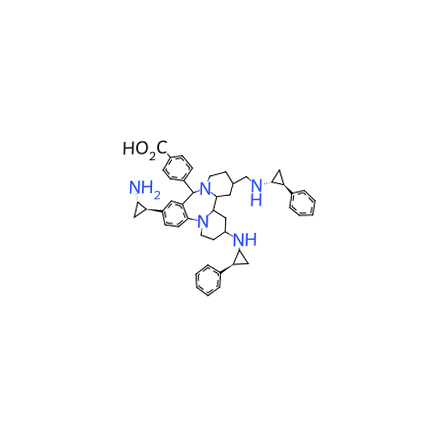 N[C@H]1C[C@@H]1c1ccc2c(c1)C(c1ccc(C(=O)O)cc1)N1CCC(CN[C@@H]3C[C@H]3c3ccccc3)CC1C1CC(N[C@@H]3C[C@H]3c3ccccc3)CCN21